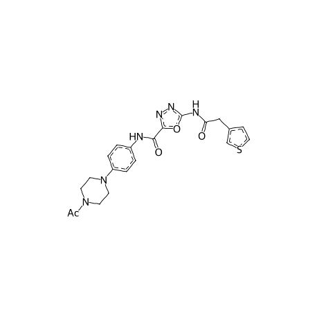 CC(=O)N1CCN(c2ccc(NC(=O)c3nnc(NC(=O)Cc4ccsc4)o3)cc2)CC1